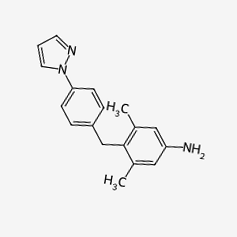 Cc1cc(N)cc(C)c1Cc1ccc(-n2cccn2)cc1